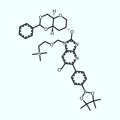 CC1(C)OB(c2ccc(-c3nc4nc(O[C@H]5CO[C@@H]6COC(c7ccccc7)O[C@H]6C5)n(COCC[Si](C)(C)C)c4cc3Cl)cc2)OC1(C)C